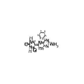 Nc1nc(-c2ccccc2)c2nc(-c3c[nH]c(=O)[nH]c3=O)ccc2n1